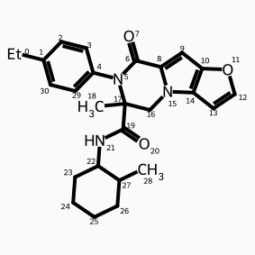 CCc1ccc(N2C(=O)c3cc4occc4n3CC2(C)C(=O)NC2CCCCC2C)cc1